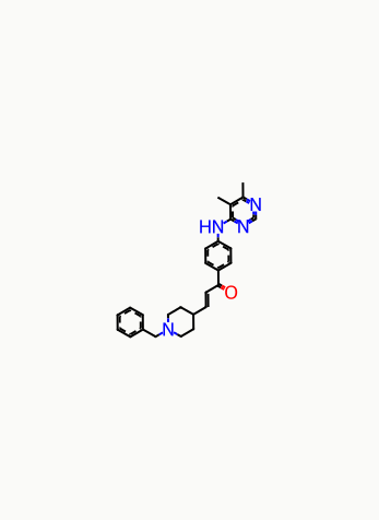 Cc1ncnc(Nc2ccc(C(=O)C=CC3CCN(Cc4ccccc4)CC3)cc2)c1C